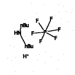 CCCCNCCCC.F[P-](F)(F)(F)(F)F.[H+]